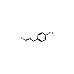 CCN=NCc1ccc(C)cc1